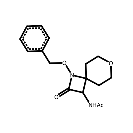 CC(=O)NC1C(=O)N(OCc2ccccc2)C12CCOCC2